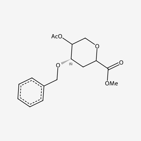 COC(=O)C1C[C@H](OCc2ccccc2)C(OC(C)=O)CO1